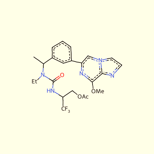 CCN(C(=O)NC(COC(C)=O)C(F)(F)F)C(C)c1cccc(-c2cn3ccnc3c(OC)n2)c1